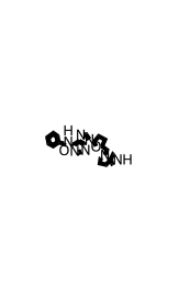 O=C(Nc1ncnc2c1ncn2C1CCC(CN2CCCC23CNC3)O1)c1ccccc1